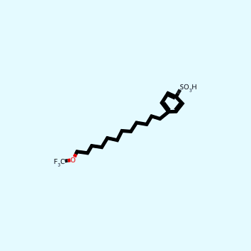 O=S(=O)(O)c1ccc(CCCCCCCCCCCCOC(F)(F)F)cc1